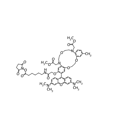 COC(=O)CN1CCOCCN(CC(=O)OC)c2cc(OCC(=O)NCCCCCC(=O)ON3C(=O)CCC3=O)c(-c3c4ccc(=[N+](C)C)cc-4oc4cc(N(C)C)ccc34)cc2OCCOc2cc(C)ccc21